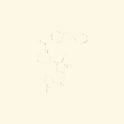 O=C(c1ccc(Cc2ccccc2)cc1)N1CCC[C@@H](n2c(=O)[nH]c3cnc4[nH]ccc4c32)C1